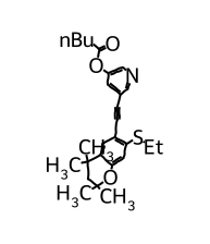 CCCCC(=O)Oc1cncc(C#Cc2cc3c(cc2SCC)OC(C)(C)CC3(C)C)c1